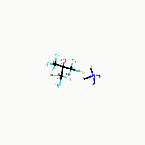 C[N+](C)(C)C.[O-]C(C(F)(F)F)(C(F)(F)F)C(F)(F)F